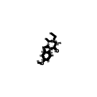 CCN(CC)[C@H](C)C(=O)n1cnc2cc(OC)ccc21